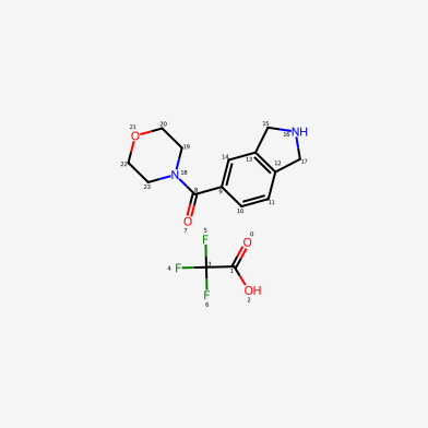 O=C(O)C(F)(F)F.O=C(c1ccc2c(c1)CNC2)N1CCOCC1